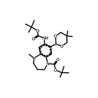 CN1CCCN(C(=O)OC(C)(C)C)c2cc(B3OCC(C)(C)CO3)c(NC(=O)OC(C)(C)C)cc21